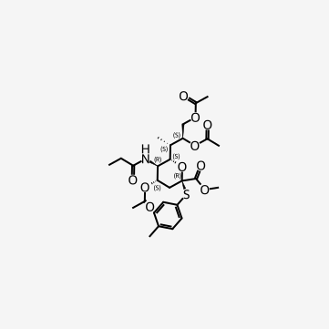 CCC(=O)N[C@H]1[C@H]([C@H](C)[C@@H](COC(C)=O)OC(C)=O)O[C@](Sc2ccc(C)cc2)(C(=O)OC)C[C@@H]1OC(C)=O